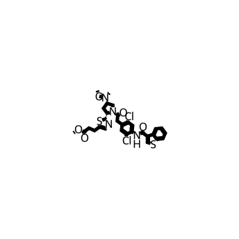 COC(=O)CCc1cnc([C@@H]2C[C@H](N(C)OC)CN2C(=O)Cc2cc(Cl)c(NC(=O)c3csc4ccccc34)cc2Cl)s1